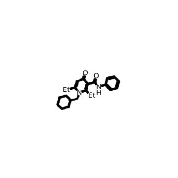 CCc1cc(=O)c(C(=O)Nc2ccccc2)c(CC)n1CC1CCCCC1